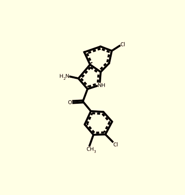 Cc1cc(C(=O)c2[nH]c3cc(Cl)ccc3c2N)ccc1Cl